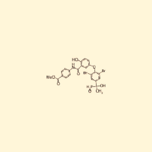 COC(=O)c1ccc(NC(=O)c2cc(Oc3c(Br)cc(C(C)(O)[PH2]=O)cc3Br)ccc2O)cc1